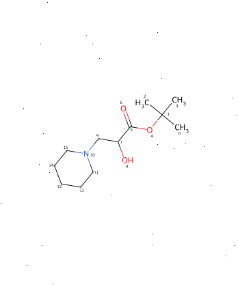 CC(C)(C)OC(=O)C(O)CN1CCCCC1